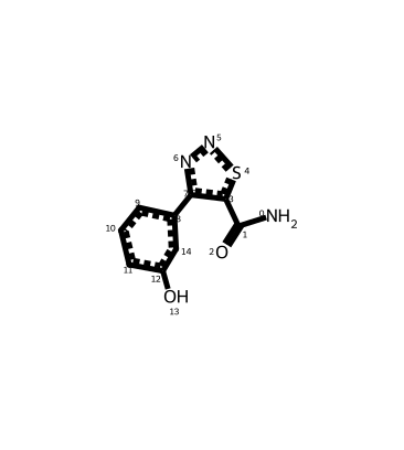 NC(=O)c1snnc1-c1cccc(O)c1